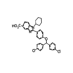 O=C(O)c1ccc2c(c1)nc(-c1ccc(OC(c3ccc(Cl)cc3)c3ccc(Cl)cc3)cc1)n2C1CCCCC1